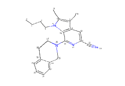 CCCCn1c(C)c(C)c2cc(C#N)nc(N3CCc4ccccc4C3)c21